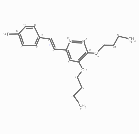 CCCCOc1cc(/C=C/c2ccc(F)cc2)nnc1OCCCC